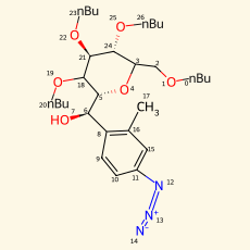 CCCCOCC1O[C@H]([C@H](O)c2ccc(N=[N+]=[N-])cc2C)C(OCCCC)[C@@H](OCCCC)[C@@H]1OCCCC